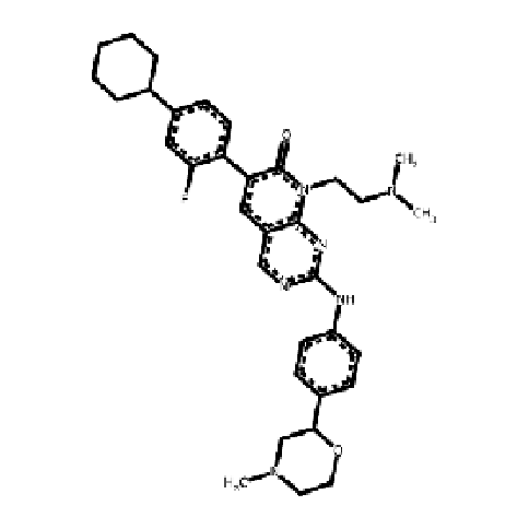 CN(C)CCn1c(=O)c(-c2ccc(C3CCCCC3)cc2F)cc2cnc(Nc3ccc(C4CN(C)CCO4)cc3)nc21